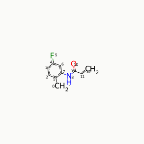 [CH2]c1ccc(F)cc1NC(=O)C=C